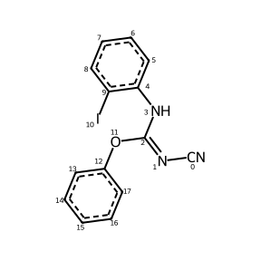 N#C/N=C(\Nc1ccccc1I)Oc1ccccc1